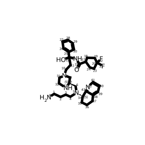 NCCCCN(C[C@@H]1CN(CCC(O)(NC(=O)C2CCC(F)(F)CC2)c2ccccc2)CCN1)[C@H]1CCCc2cccnc21